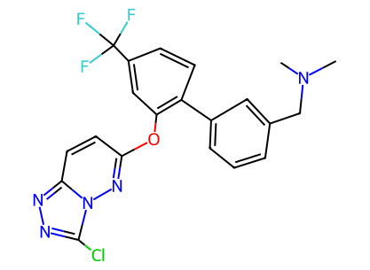 CN(C)Cc1cccc(-c2ccc(C(F)(F)F)cc2Oc2ccc3nnc(Cl)n3n2)c1